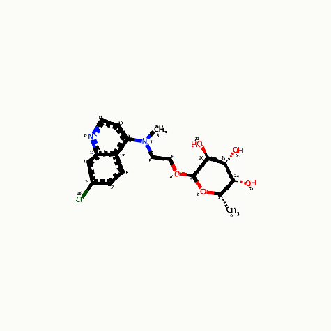 C[C@@H]1OC(OCCN(C)c2ccnc3cc(Cl)ccc23)[C@@H](O)[C@H](O)[C@@H]1O